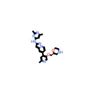 Cc1cc(-c2ccn3nc(Nc4cc(C)nc(C)n4)cc3c2)c(OC[C@@H]2CNCCO2)cn1